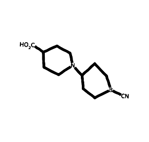 N#CB1CCC(N2CCC(C(=O)O)CC2)CC1